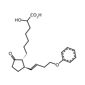 O=C(O)C(O)CCCCC[C@H]1C(=O)CC[C@@H]1/C=C/CCOc1ccccc1